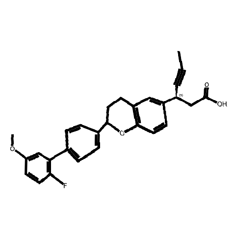 CC#C[C@@H](CC(=O)O)c1ccc2c(c1)CCC(c1ccc(-c3cc(OC)ccc3F)cc1)O2